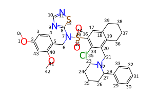 COc1ccc(CN(c2ncns2)S(=O)(=O)c2cc3c(c(CN4CCCCC4c4ccccc4)c2Cl)CCCC3)c(OC)c1